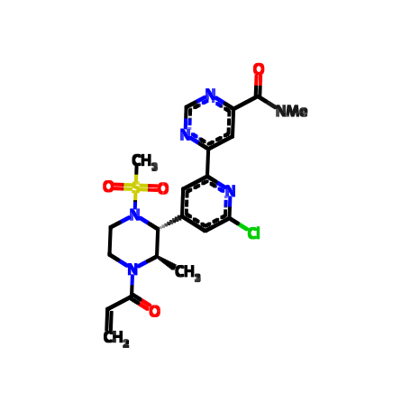 C=CC(=O)N1CCN(S(C)(=O)=O)[C@H](c2cc(Cl)nc(-c3cc(C(=O)NC)ncn3)c2)[C@H]1C